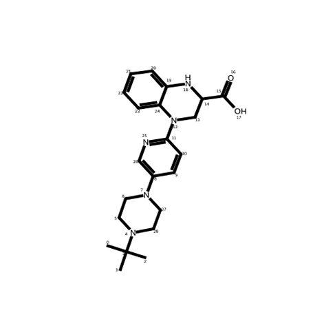 CC(C)(C)N1CCN(c2ccc(N3CC(C(=O)O)Nc4ccccc43)nc2)CC1